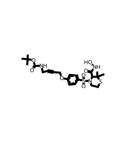 CC(C)(C)OC(=O)NCC#CCOc1ccc(S(=O)(=O)N2CCSC(C)(C)C2C(=O)NO)cc1